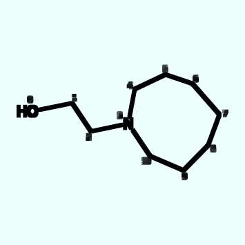 OCCN1CCCCCCC1